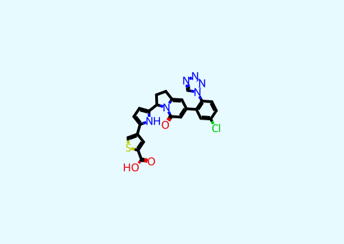 O=C(O)c1cc(-c2ccc(C3CCc4cc(-c5cc(Cl)ccc5-n5cnnn5)cc(=O)n43)[nH]2)cs1